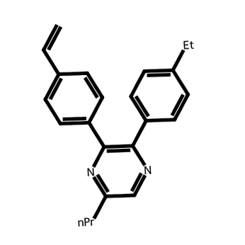 C=Cc1ccc(-c2nc(CCC)cnc2-c2ccc(CC)cc2)cc1